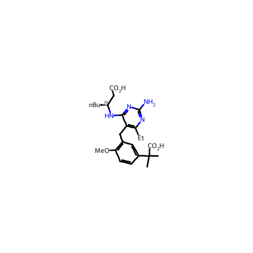 CCCC[C@@H](CC(=O)O)Nc1nc(N)nc(CC)c1Cc1cc(C(C)(C)C(=O)O)ccc1OC